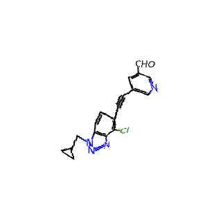 O=Cc1cncc(C#Cc2ccc3c(nnn3CC3CC3)c2Cl)c1